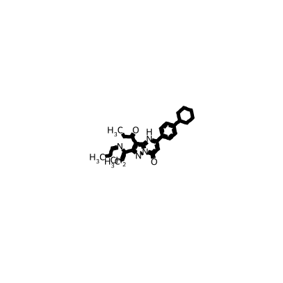 C=C(C)/C=N\C(=C/C)c1nn2c(=O)cc(-c3ccc(C4CCCCC4)cc3)[nH]c2c1C(=O)CC